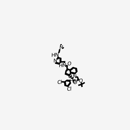 CN(C)CCNc1cc(CNC(=O)c2cccc3c(N(CC(=O)OC(C)(C)C)S(=O)(=O)c4cc(Cl)cc(Cl)c4)cccc23)ccn1